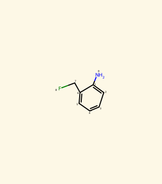 Nc1cc[c]cc1CF